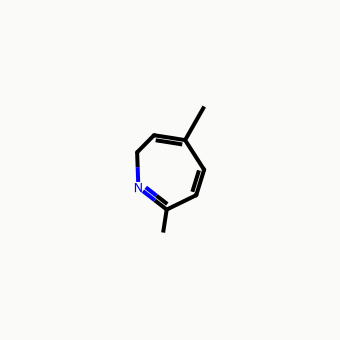 CC1=CCN=C(C)C=C1